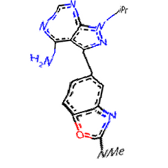 CNc1nc2cc(-c3nn(C(C)C)c4ncnc(N)c34)ccc2o1